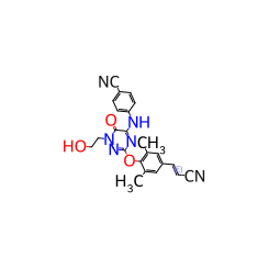 Cc1cc(/C=C/C#N)cc(C)c1Oc1nc(Nc2ccc(C#N)cc2)c(=O)n(CCO)n1